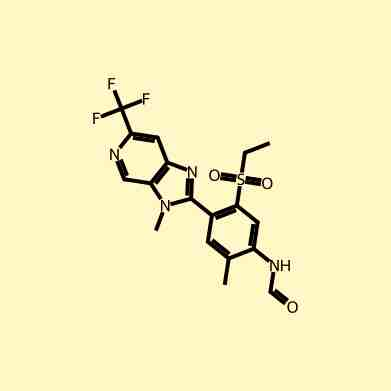 CCS(=O)(=O)c1cc(NC=O)c(C)cc1-c1nc2cc(C(F)(F)F)ncc2n1C